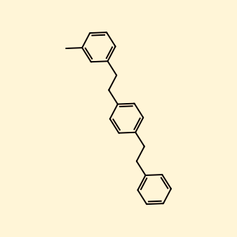 Cc1cccc(CCc2ccc(CCc3ccccc3)cc2)c1